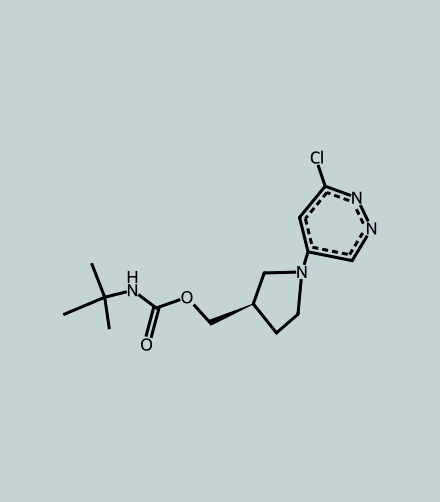 CC(C)(C)NC(=O)OC[C@@H]1CCN(c2cnnc(Cl)c2)C1